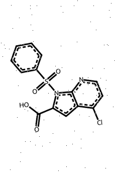 O=C(O)c1cc2c(Cl)ccnc2n1S(=O)(=O)c1ccccc1